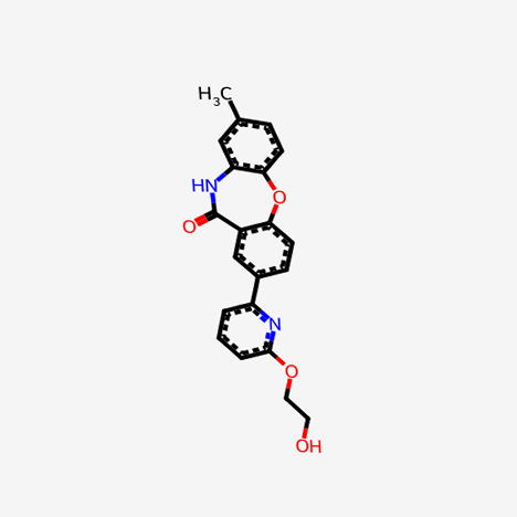 Cc1ccc2c(c1)NC(=O)c1cc(-c3cccc(OCCO)n3)ccc1O2